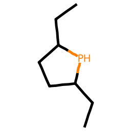 CCC1CCC(CC)P1